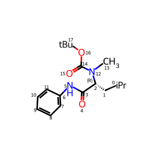 CC(C)C[C@H](C(=O)Nc1ccccc1)N(C)C(=O)OC(C)(C)C